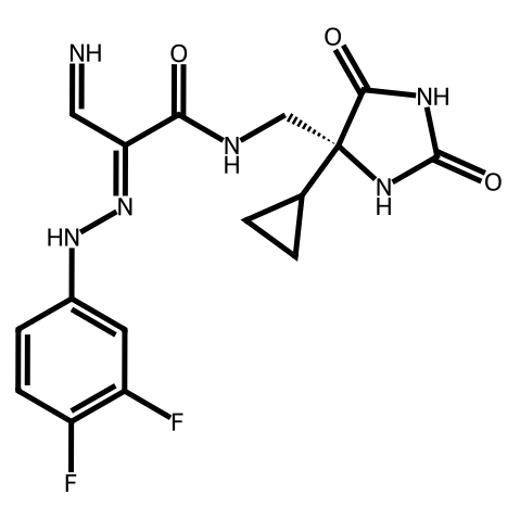 N=C/C(=N\Nc1ccc(F)c(F)c1)C(=O)NC[C@@]1(C2CC2)NC(=O)NC1=O